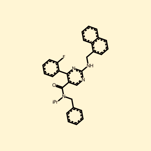 CC(C)N(Cc1ccccc1)C(=O)c1cnc(NCc2cccc3ccccc23)nc1-c1ccccc1F